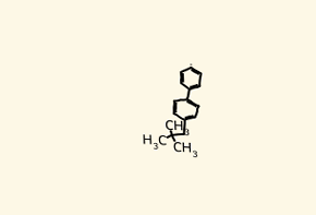 CC(C)(C)Cc1ccc(-c2cc[c]cc2)cc1